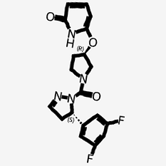 O=C(N1CC[C@@H](Oc2cccc(=O)[nH]2)C1)N1N=CC[C@H]1c1cc(F)cc(F)c1